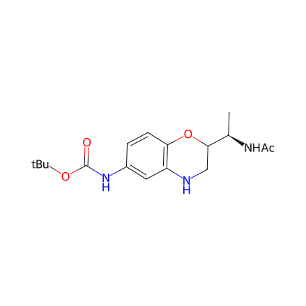 CC(=O)N[C@H](C)C1CNc2cc(NC(=O)OC(C)(C)C)ccc2O1